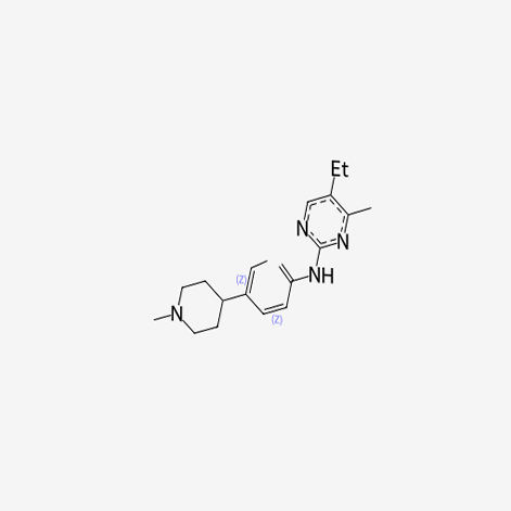 C=C(/C=C\C(=C/C)C1CCN(C)CC1)Nc1ncc(CC)c(C)n1